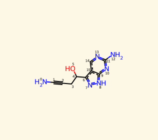 NC#CCC(O)c1n[nH]c2nc(N)ncc12